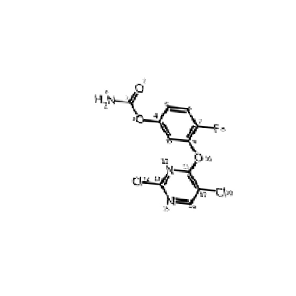 NC(=O)Oc1ccc(F)c(Oc2nc(Cl)ncc2Cl)c1